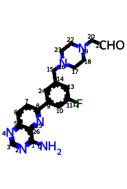 Nc1ncnc2ccc(-c3cc(F)cc(CN4CCN(CC=O)CC4)c3)nc12